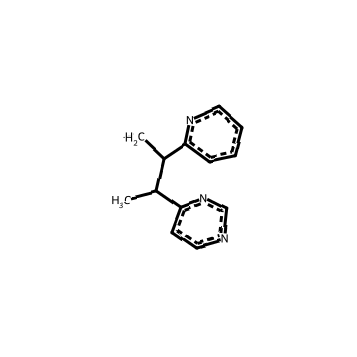 [CH2]C(c1ccccn1)C(C)c1ccncn1